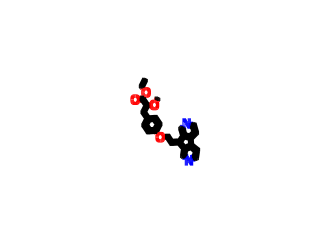 CCOC(=O)C(Cc1ccc(OCC=C2c3cnccc3-c3ccncc32)cc1)OC